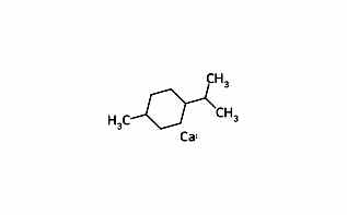 CC1CCC(C(C)C)CC1.[Ca]